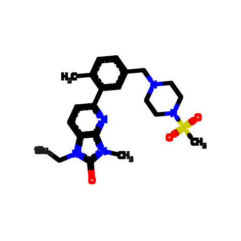 Cc1ccc(CN2CCN(S(C)(=O)=O)CC2)cc1-c1ccc2c(n1)n(C)c(=O)n2CC(C)(C)C